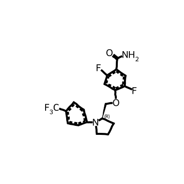 NC(=O)c1cc(F)c(OC[C@H]2CCCN2c2ccc(C(F)(F)F)cc2)cc1F